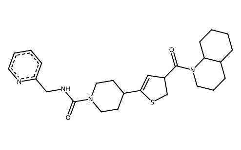 O=C(NCc1ccccn1)N1CCC(C2=CC(C(=O)N3CCCC4CCCCC43)CS2)CC1